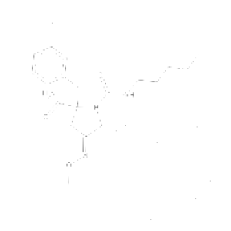 CCCCCNC(=O)N1CC(=NOC)CC1(Cc1ccccc1)C(N)=O